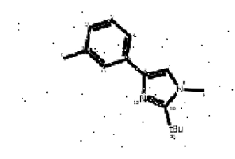 Cc1cccc(-c2cn(C)c(C(C)(C)C)n2)c1